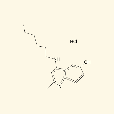 CCCCCCNc1cc(C)nc2ccc(O)cc12.Cl